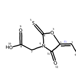 C/C=C1/OC(=S)N(CC(=O)O)C1=O